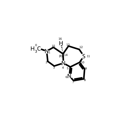 CN1CCN2c3ncccc3SCC[C@@H]2C1